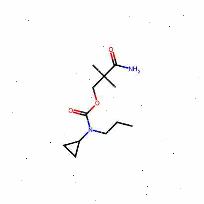 CCCN(C(=O)OCC(C)(C)C(N)=O)C1CC1